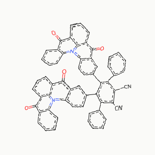 N#Cc1c(C#N)c(-c2ccccc2)c(-c2ccc3c(c2)c(=O)c2cccc4c(=O)c5ccccc5n3c42)c(-c2ccc3c(c2)c(=O)c2cccc4c(=O)c5ccccc5n3c42)c1-c1ccccc1